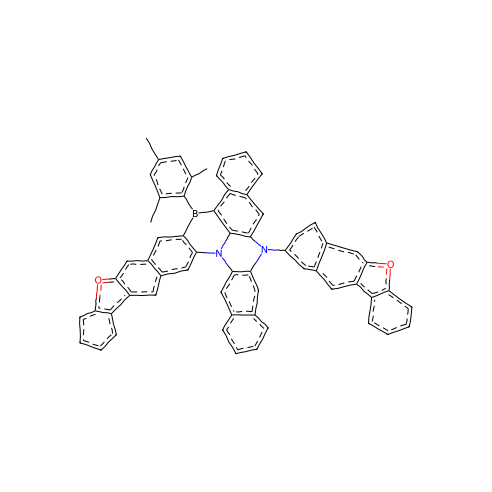 Cc1cc(C)c(B2c3cc4cc5oc6ccccc6c5cc4cc3N3c4cc5ccccc5cc4N(c4ccc5cc6oc7ccccc7c6cc5c4)c4cc5ccccc5c2c43)c(C)c1